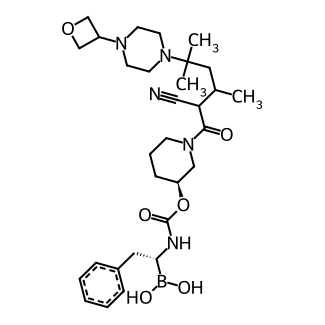 CC(CC(C)(C)N1CCN(C2COC2)CC1)C(C#N)C(=O)N1CCC[C@H](OC(=O)N[C@@H](Cc2ccccc2)B(O)O)C1